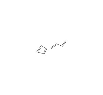 C1=CC=C1.C=CC=C